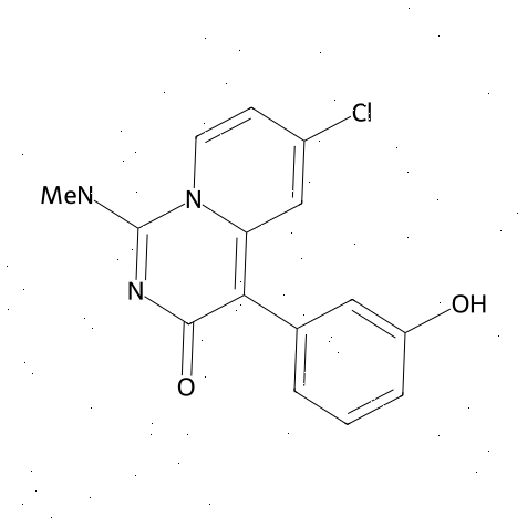 CNc1nc(=O)c(-c2cccc(O)c2)c2cc(Cl)ccn12